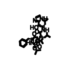 CC(C)C[C@H](NC(=O)[C@H](Cc1ccccc1)NP(=O)(OC(C)C)OC(C)C)C(=O)N[C@@H](CC(C)C)[C@@H](O)c1ncc[nH]1